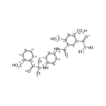 CCC(CC)C(=O)c1cc(C(=O)Nc2ccc(NC(CC)(CC)C(=O)c3ccccc3C(=O)O)cc2)c(C(=O)O)cc1C(=O)O